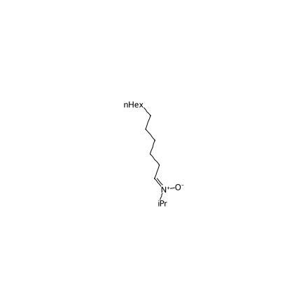 CCCCCCCCCCCC=[N+]([O-])C(C)C